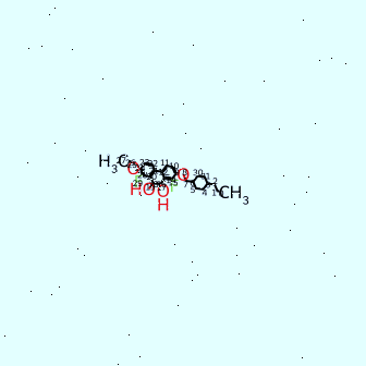 CCCC1CCC(COc2ccc3c(c2F)C(O)C(O)c2c-3ccc(OCC)c2F)CC1